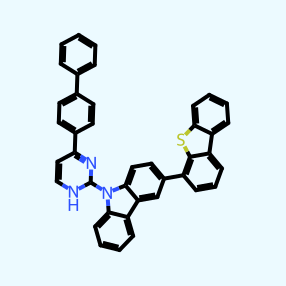 C1=CC(c2ccc(-c3ccccc3)cc2)=NC(n2c3ccccc3c3cc(-c4cccc5c4sc4ccccc45)ccc32)N1